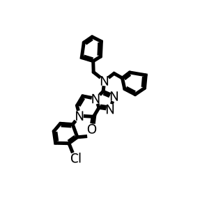 Cc1c(Cl)cccc1-n1ccn2c(N(Cc3ccccc3)Cc3ccccc3)nnc2c1=O